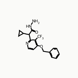 NNC(=O)C(c1nccc(OCc2ccccc2)c1C(F)(F)F)C1CC1